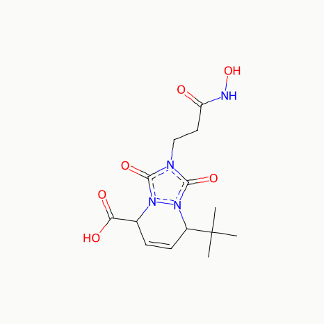 CC(C)(C)C1C=CC(C(=O)O)n2c(=O)n(CCC(=O)NO)c(=O)n21